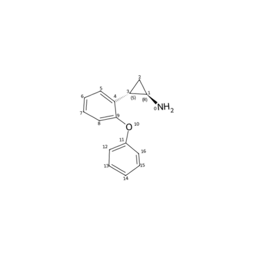 N[C@@H]1C[C@H]1c1ccccc1Oc1ccccc1